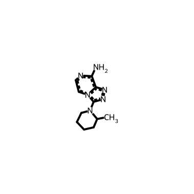 CC1CCCCN1c1nnc2c(N)nccn12